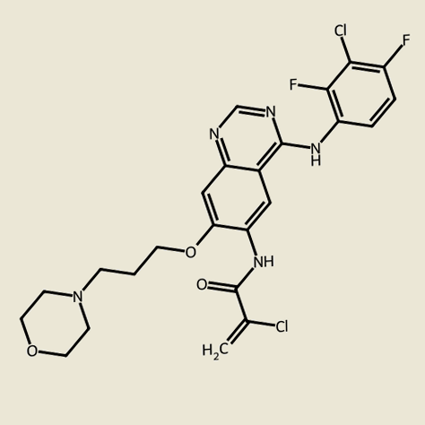 C=C(Cl)C(=O)Nc1cc2c(Nc3ccc(F)c(Cl)c3F)ncnc2cc1OCCCN1CCOCC1